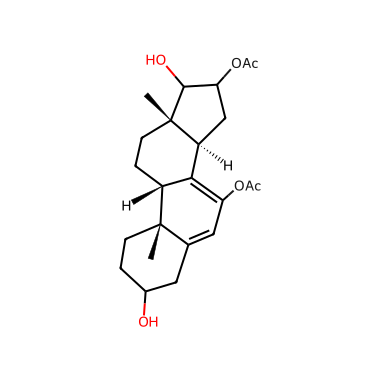 CC(=O)OC1=C2[C@@H](CC[C@]3(C)C(O)C(OC(C)=O)C[C@@H]23)[C@@]2(C)CCC(O)CC2=C1